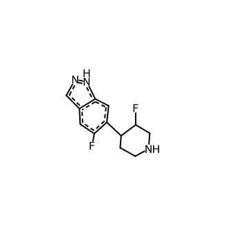 Fc1cc2cn[nH]c2cc1C1CCNCC1F